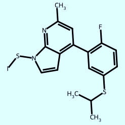 Cc1cc(-c2cc(SC(C)C)ccc2F)c2ccn(SI)c2n1